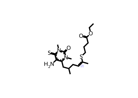 CCOC(=O)CCCS/C(C)=C\CC(C)Cc1c(N)c(=S)n(C)c(=O)n1C